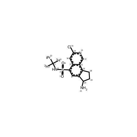 [2H]C([2H])(NS(=O)(=O)c1cc2c(c3cnc(Cl)cc13)CCC2N)C(C)C